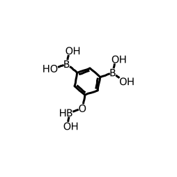 OBOc1cc(B(O)O)cc(B(O)O)c1